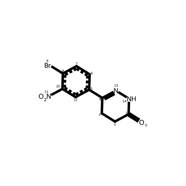 O=C1CCC(c2ccc(Br)c([N+](=O)[O-])c2)=NN1